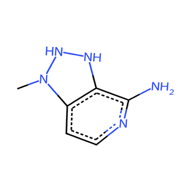 CN1NNc2c1ccnc2N